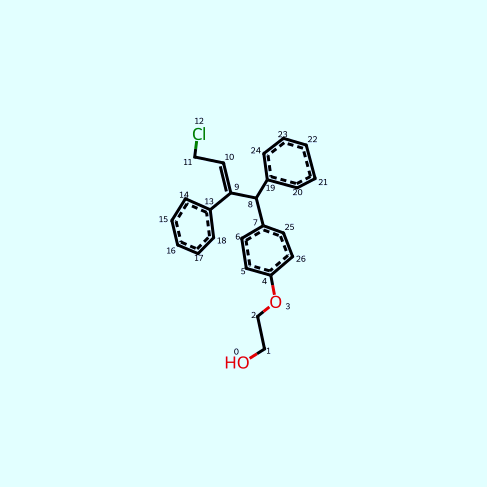 OCCOc1ccc(C(C(=CCCl)c2ccccc2)c2ccccc2)cc1